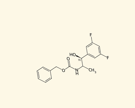 CC(NC(=O)OCc1ccccc1)[C@@H](O)c1cc(F)cc(F)c1